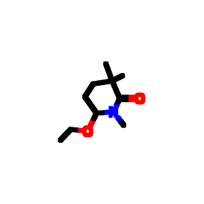 CCOC1CCC(C)(C)C(=O)N1C